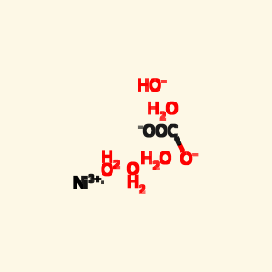 O.O.O.O.O=C([O-])[O-].[Ni+3].[OH-]